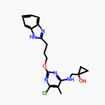 Cc1c(Cl)nc(OCCCc2nc3ccccc3[nH]2)nc1NCC1(O)CC1